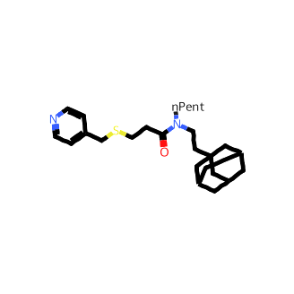 CCCCCN(CCC12CC3CC(CC(C3)C1)C2)C(=O)CCSCc1ccncc1